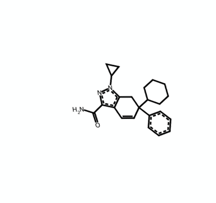 NC(=O)c1nn(C2CC2)c2c1C=CC(c1ccccc1)(C1CCCCC1)C2